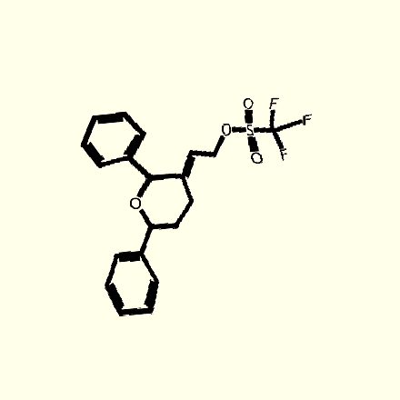 O=S(=O)(OCC=C1CCC(c2ccccc2)OC1c1ccccc1)C(F)(F)F